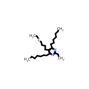 [CH2]Cc1nc(CCCCCCC)c(CCCCCCC)c(CCCCCCC)n1